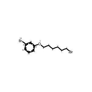 BrCCCCCCOc1cc[c]c(Br)c1